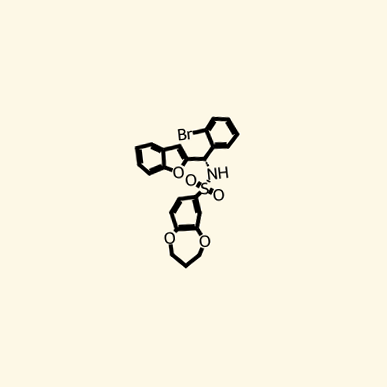 O=S(=O)(N[C@H](c1cc2ccccc2o1)c1ccccc1Br)c1ccc2c(c1)OCCCO2